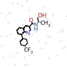 C[C@@H](CO)NC(=O)c1cnc2c(C3=CC[C@@H](C(F)(F)F)CC3)cccc2c1